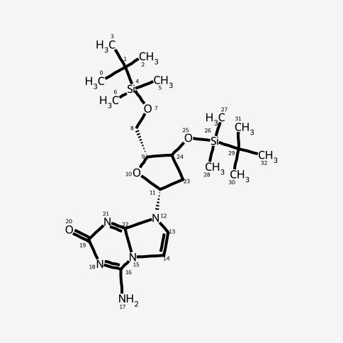 CC(C)(C)[Si](C)(C)OC[C@H]1O[C@@H](n2ccn3c(N)nc(=O)nc23)CC1O[Si](C)(C)C(C)(C)C